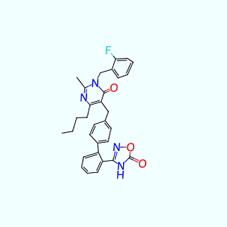 CCCCc1nc(C)n(Cc2ccccc2F)c(=O)c1Cc1ccc(-c2ccccc2-c2noc(=O)[nH]2)cc1